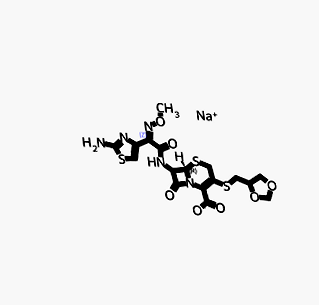 CO/N=C(\C(=O)NC1C(=O)N2C(C(=O)[O-])=C(SCC3COCO3)CS[C@H]12)c1csc(N)n1.[Na+]